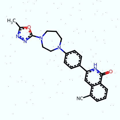 Cc1nnc(N2CCCN(c3ccc(-c4cc5c(C#N)cccc5c(=O)[nH]4)cc3)CC2)o1